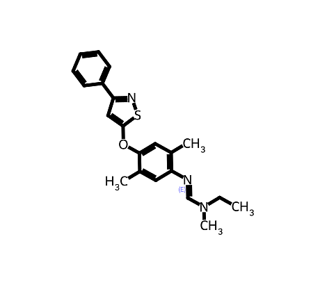 CCN(C)/C=N/c1cc(C)c(Oc2cc(-c3ccccc3)ns2)cc1C